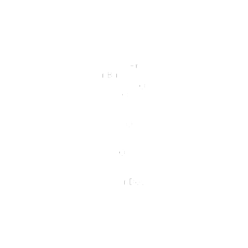 CCCCCCCCCCCCOCCOCCOC(=O)C(CC)CCCC